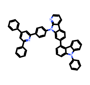 c1ccc(-c2cc(-c3ccccc3)nc(-c3ccc(-n4c5cc(-c6cccc7c6c6ccccc6n7-c6ccccc6)ccc5c5cccnc54)cc3)c2)cc1